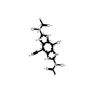 CC(=O)N(Cl)c1nc2c(Cl)c3nc(N(Cl)C(C)=O)sc3c(C#N)c2s1